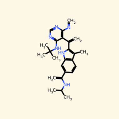 C=Nc1ncnc(NC(C)(C)C)c1C(=C)c1[nH]c2cc(C(=C)NC(C)C)ccc2c1C